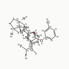 COc1cc(N2C[C@H]3CC[C@@H](C2)[C@@H]3Nc2nc(Oc3cccc(Cl)c3)n(CC(F)F)n2)cnn1